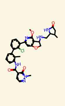 COc1nc(-c2cccc(-c3cccc(NC(=O)c4ccnn(C)c4=O)c3C)c2Cl)cc2c1C(NCC1NC(=O)CC1C)CO2